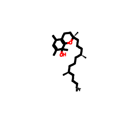 CC1=CC(C)C2=C(O[C@](C)(CCC[C@H](C)CCC[C@H](C)CCCC(C)C)CC2)C1(C)O